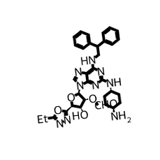 CCc1nnc([C@H]2O[C@@H](n3cnc4c(NCC(c5ccccc5)c5ccccc5)nc(N[C@H]5CC[C@H](N)CC5)nc43)[C@H](OC=O)[C@@H]2O)o1